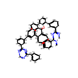 C=N/C(=N\C(=N/C)c1cccc(-c2cccc(-c3ccccc3C(=O)c3ccccc3-c3cccc(-c4cccc(-c5ncnc(-c6ccccc6)n5)c4)c3)c2)c1)c1ccccc1